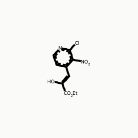 CCOC(=O)C(O)=Cc1ccnc(Cl)c1[N+](=O)[O-]